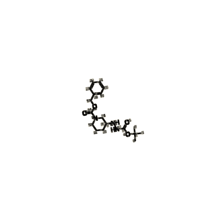 CC(C)(C)OC(=O)NN[C@H]1CCCN(C(=O)OCc2ccccc2)C1